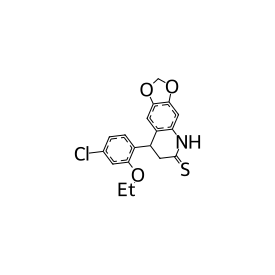 CCOc1cc(Cl)ccc1C1CC(=S)Nc2cc3c(cc21)OCO3